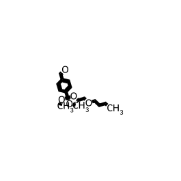 CCCCOCCOC(OC)(OC)c1ccc(C=O)cc1